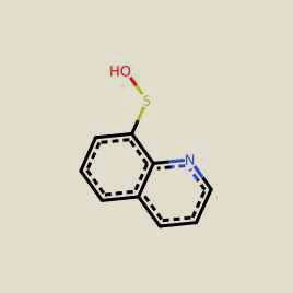 OSc1cccc2cccnc12